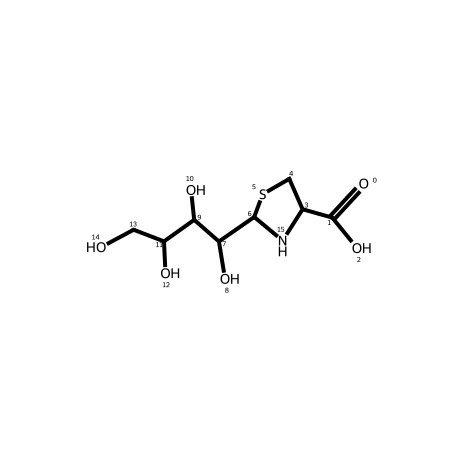 O=C(O)C1CSC(C(O)C(O)C(O)CO)N1